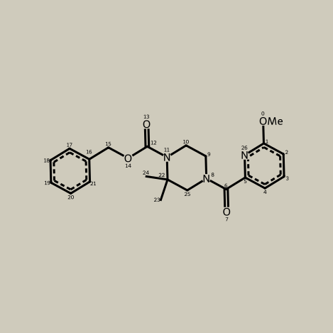 COc1cccc(C(=O)N2CCN(C(=O)OCc3ccccc3)C(C)(C)C2)n1